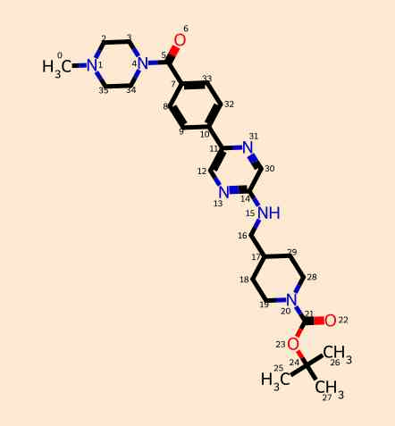 CN1CCN(C(=O)c2ccc(-c3cnc(NCC4CCN(C(=O)OC(C)(C)C)CC4)cn3)cc2)CC1